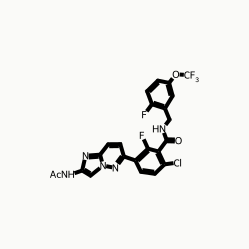 CC(=O)Nc1cn2nc(-c3ccc(Cl)c(C(=O)NCc4cc(OC(F)(F)F)ccc4F)c3F)ccc2n1